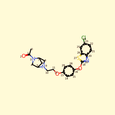 CC(=O)N1CC2CC1CN2CCOc1ccc(Oc2nc3ccc(Cl)cc3s2)cc1